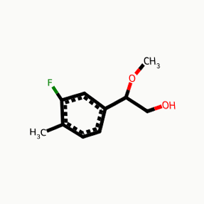 COC(CO)c1ccc(C)c(F)c1